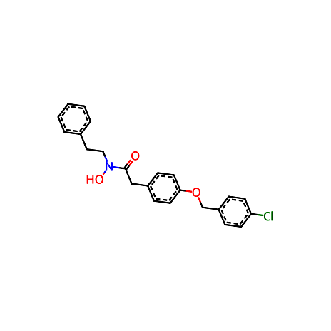 O=C(Cc1ccc(OCc2ccc(Cl)cc2)cc1)N(O)CCc1ccccc1